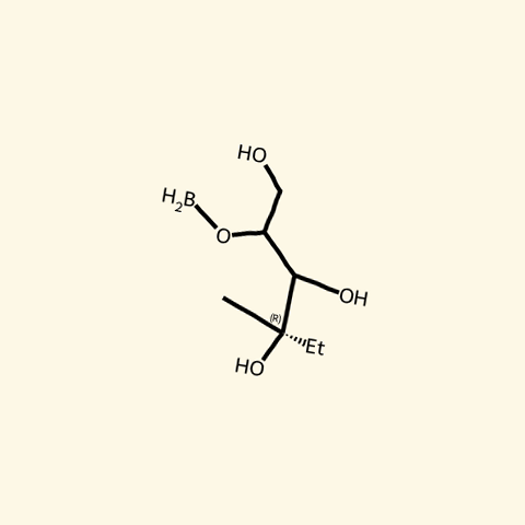 BOC(CO)C(O)[C@](C)(O)CC